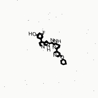 Oc1cc(F)cc(-c2ccnc3[nH]c(-c4n[nH]c5ccc(-c6cncc(OC7CCCCC7)c6)nc45)cc23)c1